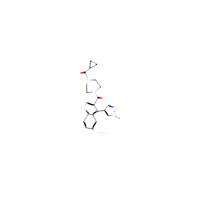 COc1ccc2ncc(C(=O)N3CCN(C(=O)C4CC4)CC3)c(-c3cnn(C)c3)c2c1